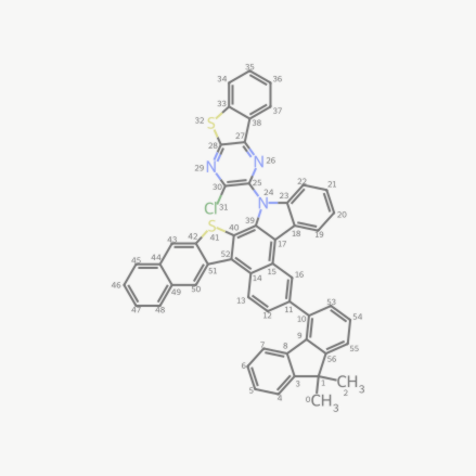 CC1(C)c2ccccc2-c2c(-c3ccc4c(c3)c3c5ccccc5n(-c5nc6c(nc5Cl)sc5ccccc56)c3c3sc5cc6ccccc6cc5c43)cccc21